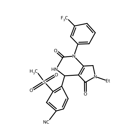 CCN1CC2=C(C1=O)C(c1ccc(C#N)cc1S(C)(=O)=O)NC(=O)N2c1cccc(C(F)(F)F)c1